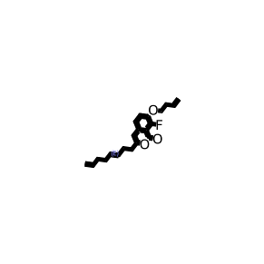 C=CCC/C=C/CCc1cc2ccc(OCCC=C)c(F)c2c(=O)o1